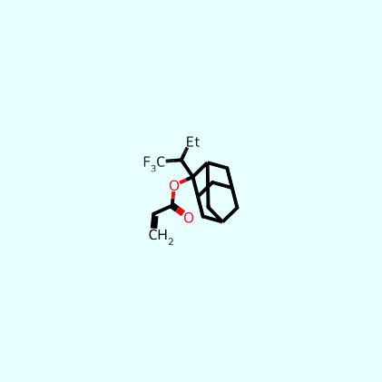 C=CC(=O)OC1(C(CC)C(F)(F)F)C2CC3CC(C2)CC1C3